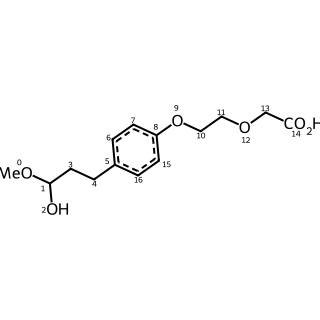 COC(O)CCc1ccc(OCCOCC(=O)O)cc1